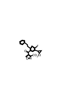 CCOC(=O)c1nocc1C(=O)c1cc(C2CC2)c(F)cc1CCc1ccccc1